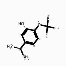 C[C@H](N)c1ccc(OC(F)(F)F)cc1.Cl